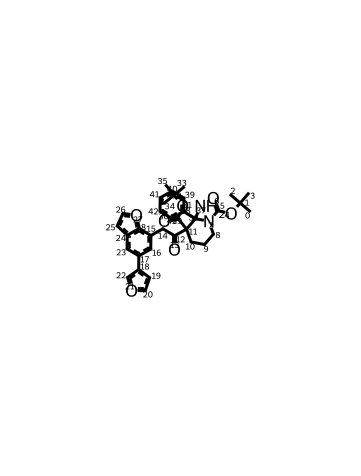 CC(C)(C)OC(=O)N1CCCC(C(=O)Cc2cc(-c3ccoc3)cc3ccoc23)(C(=O)OC(C)(C)C)C1(N)c1ccccc1